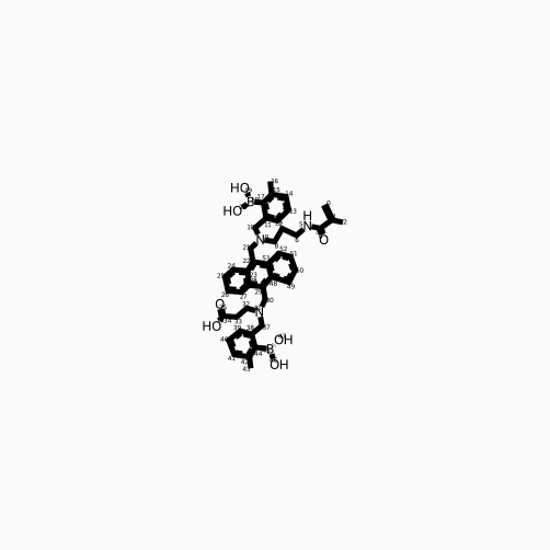 C=C(C)C(=O)NCCCN(Cc1cccc(C)c1B(O)O)Cc1c2ccccc2c(CN(CCC(=O)O)Cc2cccc(C)c2B(O)O)c2ccccc12